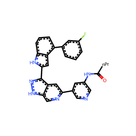 CCCC(=O)Nc1cncc(-c2cc3c(-c4cc5c(-c6cccc(F)c6)cccc5[nH]4)n[nH]c3cn2)c1